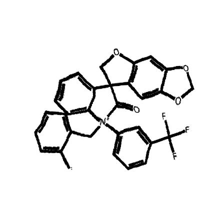 [CH]c1ccccc1C[N+]1(c2cccc(C(F)(F)F)c2)C(=O)C2(COc3cc4c(cc32)OCO4)c2ccccc21